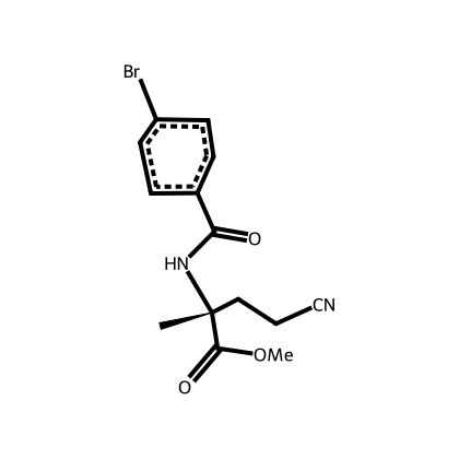 COC(=O)[C@@](C)(CCC#N)NC(=O)c1ccc(Br)cc1